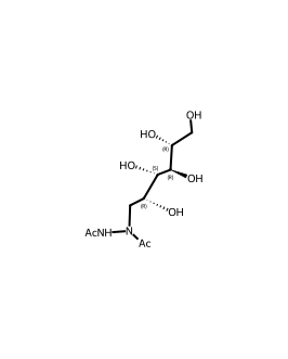 CC(=O)NN(C[C@@H](O)[C@H](O)[C@H](O)[C@H](O)CO)C(C)=O